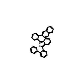 c1ccc(-c2ccccc2-c2sc(-c3ccccc3-c3ccc4ccccc4c3)c3ccccc23)cc1